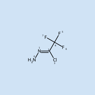 NN=C(Cl)C(F)(F)F